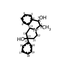 CC(C(O)c1ccccc1)N1CCC(O)(c2ccccc2)CC1